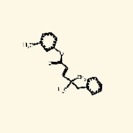 Cc1cccc(OC(=O)C=CC(C)(C)Cc2ccccc2)c1